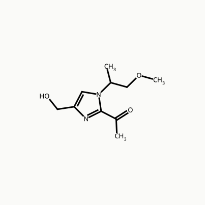 COCC(C)n1cc(CO)nc1C(C)=O